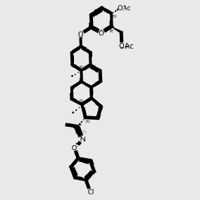 CC(=O)OC[C@H]1OC(OC2CC[C@@]3(C)C(=CCC4C3CC[C@@]3(C)C4CC[C@@H]3/C(C)=N/Oc3ccc(Cl)cc3)C2)C=C[C@@H]1OC(C)=O